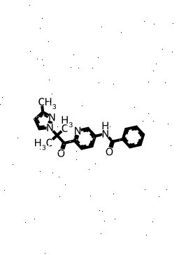 Cc1ccn(C(C)(C)C(=O)c2ccc(NC(=O)c3ccccc3)cn2)n1